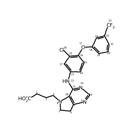 O=C(O)CCCN1CCc2ncnc(Nc3ccc(Oc4cccc(C(F)(F)F)c4)c(Cl)c3)c21